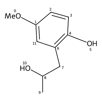 COc1ccc(O)c(CC(C)O)c1